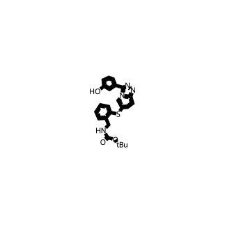 CC(C)(C)OC(=O)NCc1ccccc1Sc1ccc2nnc(-c3cccc(O)c3)n2c1